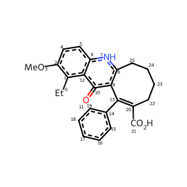 CCc1c(OC)ccc2[nH]c3c(c(=O)c12)C(c1ccccc1)=C(C(=O)O)CCCC3